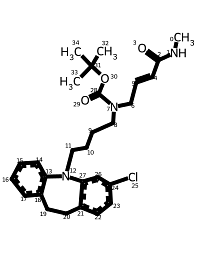 CNC(=O)/C=C/CN(CCCCN1c2ccccc2CCc2ccc(Cl)cc21)C(=O)OC(C)(C)C